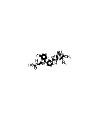 CCC(C)(C)C[C@@H](CNC)NC(=O)N1CCC[C@@H](C(OCCNC(=O)O)c2cccc(Cl)c2)C1